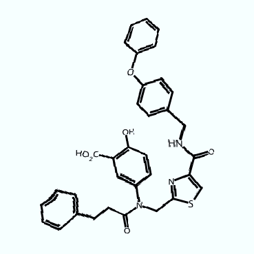 O=C(NCc1ccc(Oc2ccccc2)cc1)c1csc(CN(C(=O)CCc2ccccc2)c2ccc(O)c(C(=O)O)c2)n1